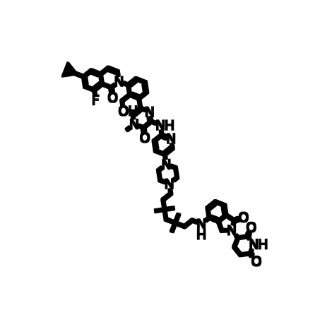 Cn1cc(-c2cccc(-n3ccc4cc(C5CC5)cc(F)c4c3=O)c2CO)nc(Nc2ccc(N3CCN(CCC(C)(C)CC(C)(C)CCNc4cccc5c4CN(C4CCC(=O)NC4=O)C5=O)CC3)cn2)c1=O